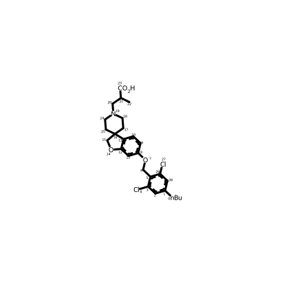 CCCCc1cc(Cl)c(COc2ccc3c(c2)OCC32CCN(CC(C)C(=O)O)CC2)c(Cl)c1